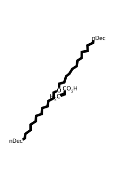 C=CC(=O)O.CCCCCCCCCCCCCCCCCCCCCCOCCCCCCCCCCCCCCCCCCCCCC